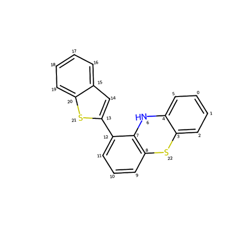 c1ccc2c(c1)Nc1c(cccc1-c1cc3ccccc3s1)S2